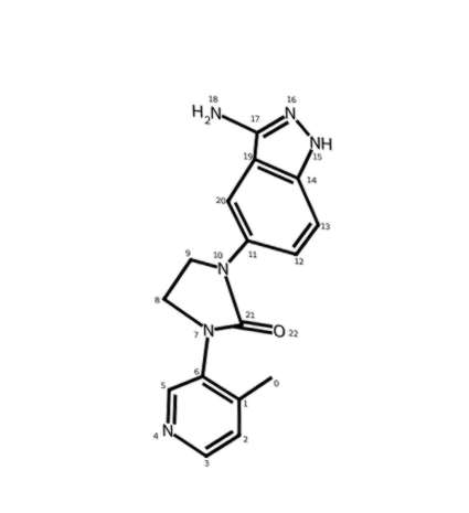 Cc1ccncc1N1CCN(c2ccc3[nH]nc(N)c3c2)C1=O